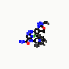 CN1C(C)(C)CC(Nc2nc(Nc3cc(-n4nnn(C)c4=O)c(C4CC4)cc3F)ncc2C(N)=O)CC1(C)C